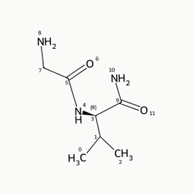 CC(C)[C@@H](NC(=O)CN)C(N)=O